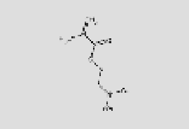 C=C(C)C(=O)OCCN(CCC)C(C)=O